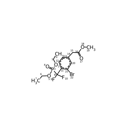 CCOP(=O)(OCC)C(F)(F)c1ccc(CC(=O)OC)cc1Br